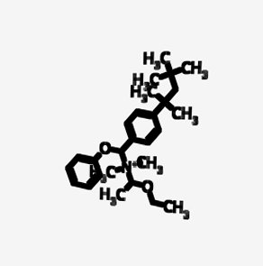 CCOC(C)[N+](C)(C)C(Oc1ccccc1)c1ccc(C(C)(C)CC(C)(C)C)cc1